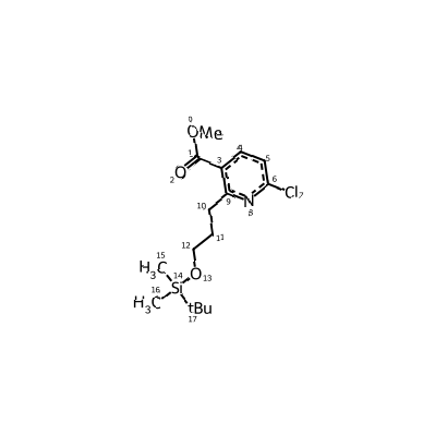 COC(=O)c1ccc(Cl)nc1CCCO[Si](C)(C)C(C)(C)C